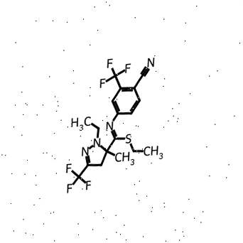 CCS/C(=N\c1ccc(C#N)c(C(F)(F)F)c1)C1(C)CC(C(F)(F)F)=NN1CC